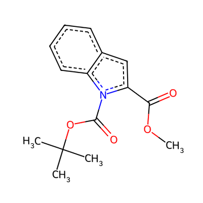 COC(=O)c1cc2ccccc2n1C(=O)OC(C)(C)C